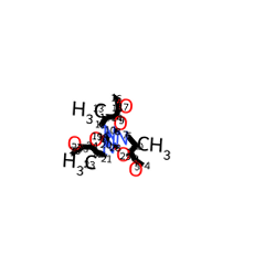 CC(CC1CO1)Cn1c(=O)n(CC(C)CC2CO2)c(=O)n(CC(C)CC2CO2)c1=O